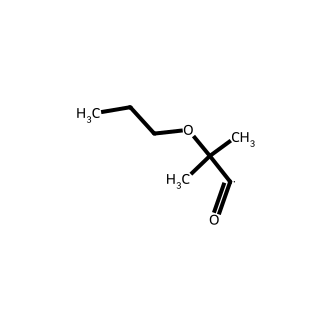 CCCOC(C)(C)[C]=O